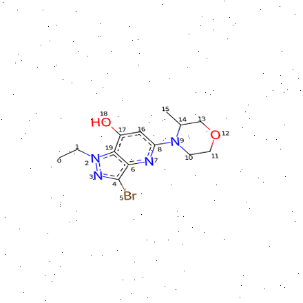 CCn1nc(Br)c2nc(N3CCOCC3C)cc(O)c21